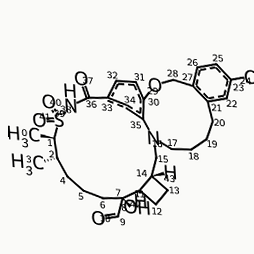 C[C@@H]1[C@@H](C)CCC[C@@](O)(C=O)[C@@H]2CC[C@H]2CN2CCCCc3cc(Cl)ccc3COc3ccc(cc32)C(=O)NS1(=O)=O